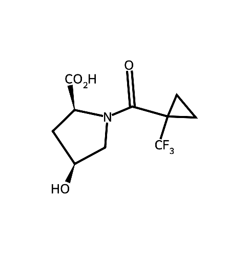 O=C(O)[C@@H]1C[C@H](O)CN1C(=O)C1(C(F)(F)F)CC1